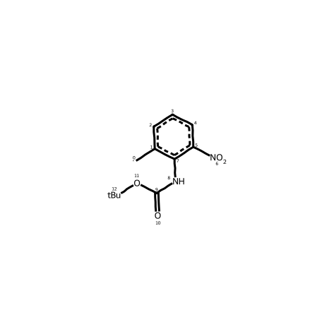 [CH2]c1cccc([N+](=O)[O-])c1NC(=O)OC(C)(C)C